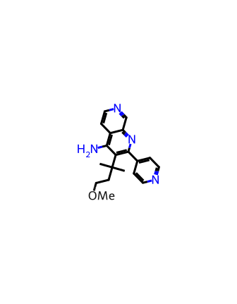 COCCC(C)(C)c1c(-c2ccncc2)nc2cnccc2c1N